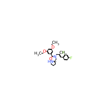 CCOc1cc(OCC)cc(C(=O)N(CC(C)=Cc2ccc(F)cc2F)C[C@H]2CCCN2)c1